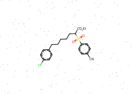 CCOC(=O)C(CCCCCc1ccc(Cl)cc1)S(=O)(=O)c1ccc(C#N)cc1